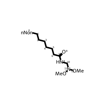 CCCCCCCCCCCCCCCC(=O)NCN(OC)OC